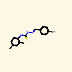 Cc1ccc(NC(=S)NN=Cc2ccc(C#N)cc2)c(C)c1